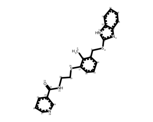 Cc1c(CSc2nc3ccccc3[nH]2)cccc1SCCNC(=O)c1cccnc1